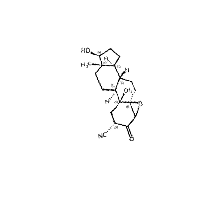 C[C@]12CC[C@H]3[C@@H](CC[C@]45OC4C(=O)[C@H](C#N)C[C@]35C)[C@@H]1CC[C@@H]2O